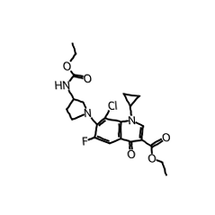 CCOC(=O)NC1CCN(c2c(F)cc3c(=O)c(C(=O)OCC)cn(C4CC4)c3c2Cl)C1